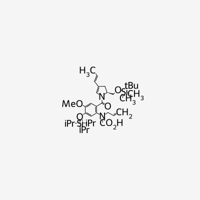 C=CCN(C(=O)O)c1cc(O[Si](C(C)C)(C(C)C)C(C)C)c(OC)cc1C(=O)N1C=C(C=CC)C[C@H]1CO[Si](C)(C)C(C)(C)C